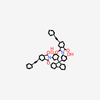 O=C1c2ccc(C#Cc3ccccc3)cc2C(=O)N1c1cc(C2(c3ccc(O)c(N4C(=O)c5ccc(C#Cc6ccccc6)cc5C4=O)c3)c3ccccc3-c3ccccc32)ccc1O